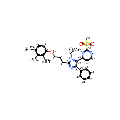 COCn1c(CCCOc2ccc(C(C)C)c(C(C)C)c2C(C)C)nc(-c2ccccc2)c1-c1ccnc(S(C)(=O)=O)n1